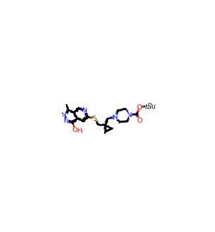 Cc1nnc(O)c2cc(SCC3(CN4CCN(C(=O)OC(C)(C)C)CC4)CC3)ncc12